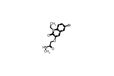 CCn1c(=O)c(OCC(=O)NC)cc2cc(Br)ccc21